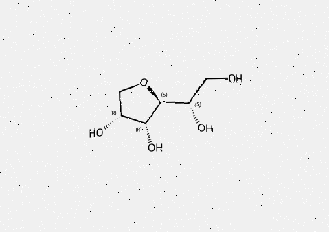 OC[C@H](O)[C@@H]1OC[C@@H](O)[C@H]1O